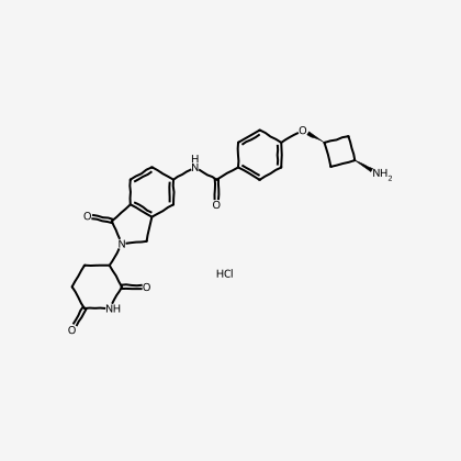 Cl.N[C@H]1C[C@@H](Oc2ccc(C(=O)Nc3ccc4c(c3)CN(C3CCC(=O)NC3=O)C4=O)cc2)C1